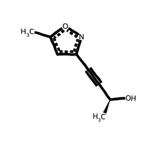 Cc1cc(C#C[C@H](C)O)no1